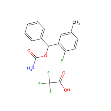 Cc1ccc(F)c(C(OC(N)=O)c2ccccc2)c1.O=C(O)C(F)(F)F